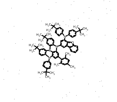 Cc1cc(C)c(-c2cc3c4c(c2)N(c2cc(N(c5ccc(C(C)(C)C)cc5)c5ccc(C(C)(C)C)cc5)c5oc6ccccc6c5c2)c2ccc(C(C)(C)C)cc2B4c2cc(C(C)(C)C)ccc2N3c2ccc(C(C)(C)C)cc2)c(C)c1